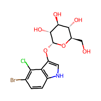 OC[C@H]1O[C@H](Oc2c[nH]c3ccc(Br)c(Cl)c23)[C@H](O)[C@@H](O)[C@@H]1O